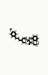 C=C(CN1CCC(CCCc2ccc(F)cc2)CC1)N1CCOc2cccc(N)c21